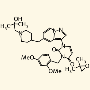 CC1(C)CO1.COc1ccc(Cn2c(=O)ccn(-c3cnn4ccc(CC5CCN(CC(C)(C)O)CC5)cc34)c2=O)c(OC)c1